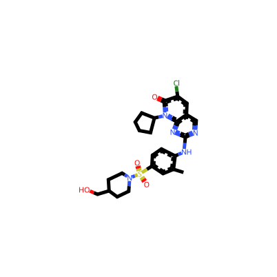 Cc1cc(S(=O)(=O)N2CCC(CO)CC2)ccc1Nc1ncc2cc(Cl)c(=O)n(C3CCCC3)c2n1